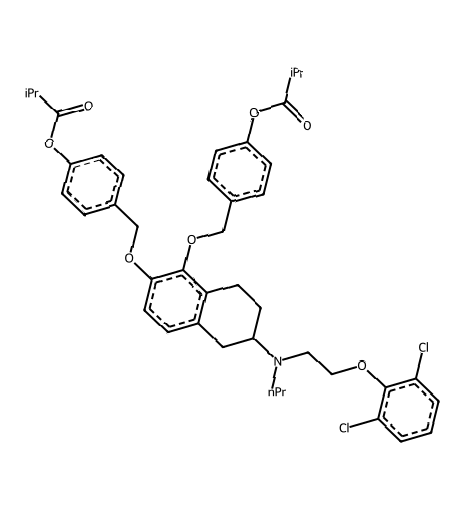 CCCN(CCOc1c(Cl)cccc1Cl)C1CCc2c(ccc(OCc3ccc(OC(=O)C(C)C)cc3)c2OCc2ccc(OC(=O)C(C)C)cc2)C1